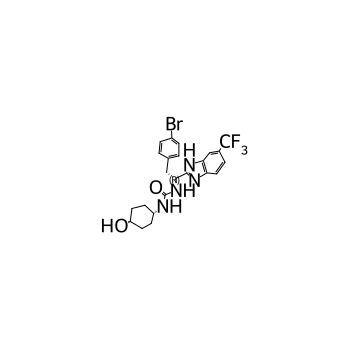 O=C(N[C@H](Cc1ccc(Br)cc1)c1nc2ccc(C(F)(F)F)cc2[nH]1)N[C@H]1CC[C@H](O)CC1